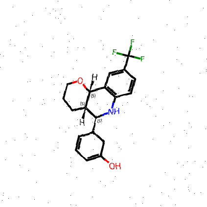 OC1=CC=CC([C@@H]2Nc3ccc(C(F)(F)F)cc3[C@H]3OCCC[C@H]32)C1